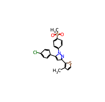 Cc1ccsc1-c1cc(-c2ccc(Cl)cc2)n(-c2ccc(S(C)(=O)=O)cc2)n1